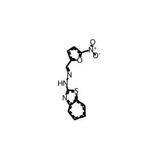 O=[N+]([O-])c1ccc(C=NNc2nc3ccccc3s2)o1